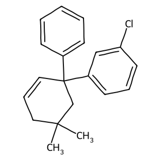 CC1(C)CC=CC(c2ccccc2)(c2cccc(Cl)c2)C1